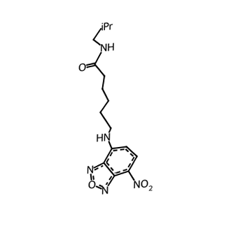 CC(C)CNC(=O)CCCCCNc1ccc([N+](=O)[O-])c2nonc12